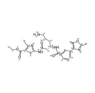 CCOC(=O)c1sc(NC(=O)C[C@H](CCCN)NC(=O)c2cccc(-c3noc(C)n3)c2)nc1C